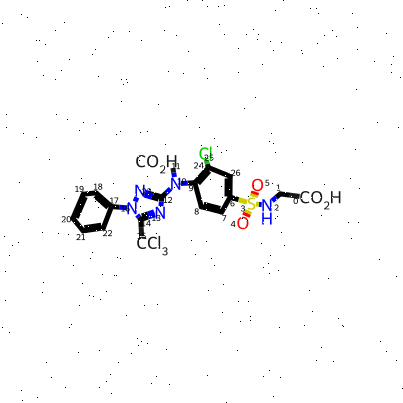 O=C(O)CNS(=O)(=O)c1ccc(N(C(=O)O)c2nc(C(Cl)(Cl)Cl)n(-c3ccccc3)n2)c(Cl)c1